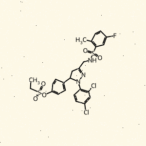 CCS(=O)(=O)Oc1ccc(C2CC(CNS(=O)(=O)c3cc(F)ccc3C)=NN2c2ccc(Cl)cc2Cl)cc1